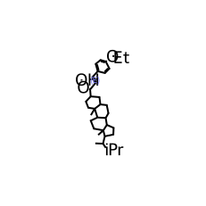 CCOc1ccc(/C=C/C(OO)C2CCC3(C)C(CCC4C3CCC3(C)C(C(C)C(C)C)CCC43)C2)cc1